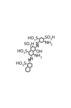 Nc1cc(/N=N/c2c(S(=O)(=O)O)cc3c(S(=O)(=O)O)cc(/N=N/c4ccc5ccccc5c4S(=O)(=O)O)c(N)c3c2O)c(S(=O)(=O)O)cc1S(=O)(=O)O